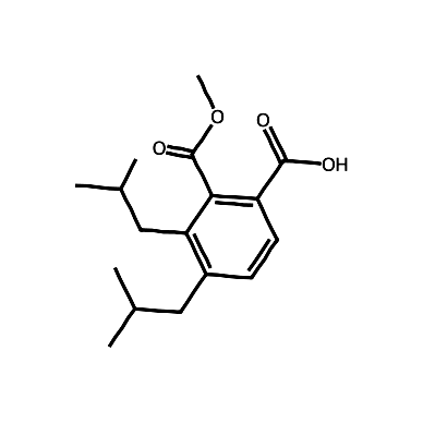 COC(=O)c1c(C(=O)O)ccc(CC(C)C)c1CC(C)C